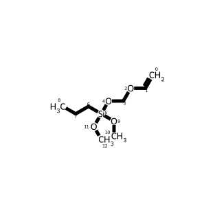 C=COCO[Si](CCC)(OC)OC